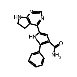 NC(=O)c1cc(-c2ncnc3c2CCN3)[nH]c1-c1ccccc1